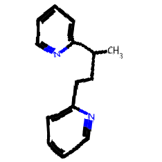 CC(CCc1ccccn1)c1ccccn1